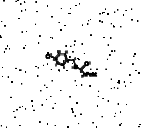 CCCCCC(=O)OCc1ccc(Cl)cc1